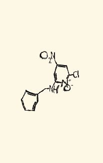 O=[N+]([O-])c1cc(Cl)[n+]([O-])c(NCc2ccccc2)c1